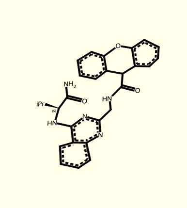 CC(C)[C@H](Nc1nc(CNC(=O)C2c3ccccc3Oc3ccccc32)nc2ccccc12)C(N)=O